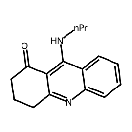 CCCNc1c2c(nc3ccccc13)CCCC2=O